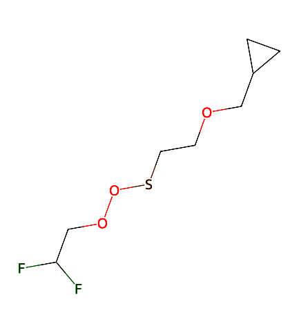 FC(F)COOSCCOCC1CC1